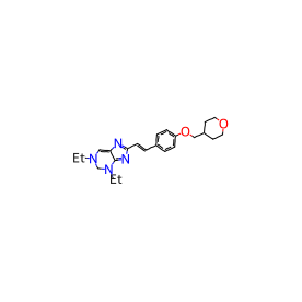 CCN1C=C2N=C(C=Cc3ccc(OCC4CCOCC4)cc3)N=C2N(CC)C1